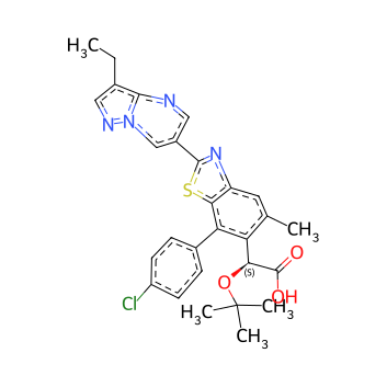 CCc1cnn2cc(-c3nc4cc(C)c([C@H](OC(C)(C)C)C(=O)O)c(-c5ccc(Cl)cc5)c4s3)cnc12